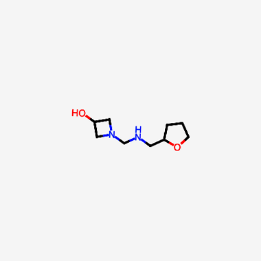 OC1CN(CNCC2CCCO2)C1